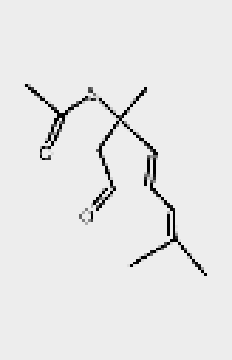 CC(=O)SC(C)(C=CC=C(C)C)CC=O